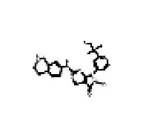 CC(C)n1c(=O)c2cnc(Nc3ccc4c(c3)CNCC4)nc2n1-c1ccnc(C(C)(C)CF)c1